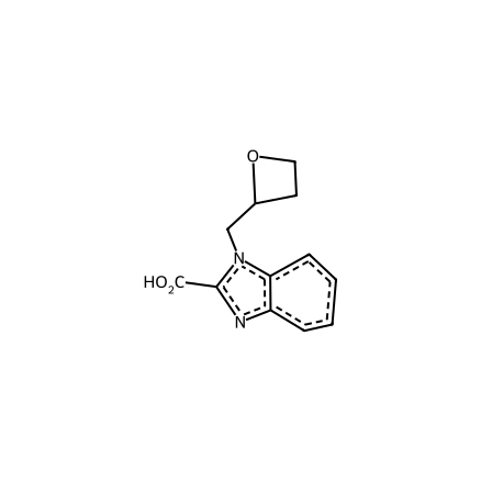 O=C(O)c1nc2ccccc2n1CC1CCO1